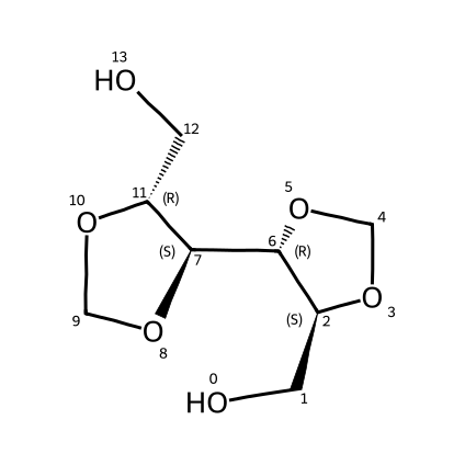 OC[C@@H]1OCO[C@H]1[C@H]1OCO[C@@H]1CO